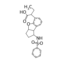 CCC(C(=O)O)c1cccc2c1OC1CCC(NS(=O)(=O)c3ccccc3)C21